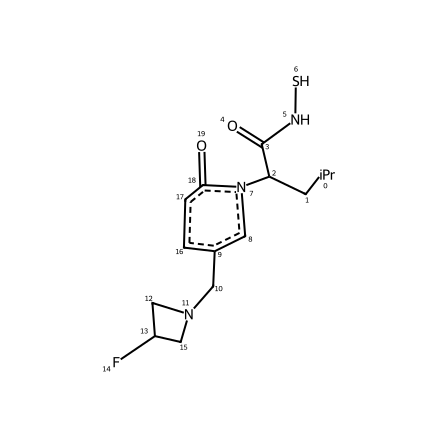 CC(C)CC(C(=O)NS)n1cc(CN2CC(F)C2)ccc1=O